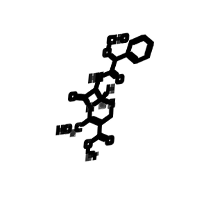 CC(C)OC(=O)C1=C(C(=O)O)N2C(=O)C(NC(=O)C(OC=O)c3ccccc3)[C@@H]2SC1